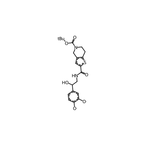 CC(C)(C)OC(=O)N1CCc2sc(C(=O)NCC(O)c3ccc([O])c([O])c3)cc2C1